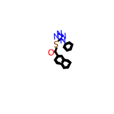 O=C(CSc1nnnn1-c1ccccc1)c1ccc2ccccc2c1